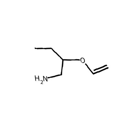 C=COC(CC)CN